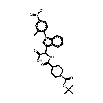 Cc1cc([N+](=O)[O-])ccc1-n1cc(C(NC(=O)C2CCN(C(=O)OC(C)(C)C)CC2)C(=O)O)c2ccccc21